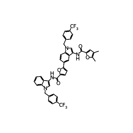 Cc1cc(C(=O)Nc2cn(Cc3ccc(C(F)(F)F)cc3)c3ccc(-c4ccc(C(=O)Nc5cn(Cc6ccc(C(F)(F)F)cc6)c6ccccc56)o4)cc23)oc1C